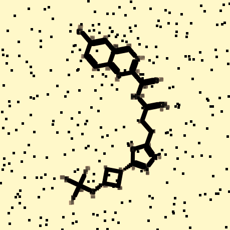 C=C(CCc1nnc([C@H]2C[C@@H](OC(F)(F)F)C2)o1)NC(=O)c1ncc2cc(Cl)ccc2n1